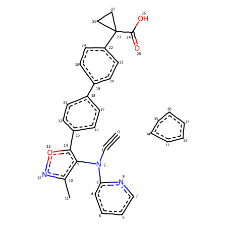 C#CN(c1ccccn1)c1c(C)noc1-c1ccc(-c2ccc(C3(C(=O)O)CC3)cc2)cc1.c1ccccc1